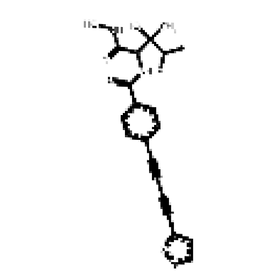 CC(O)(C(F)F)C(NC(=O)c1ccc(C#CC#Cc2ccns2)cc1)C(=O)NO